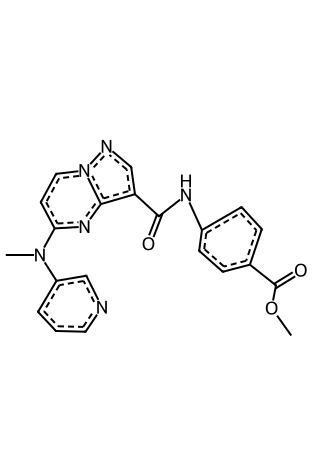 COC(=O)c1ccc(NC(=O)c2cnn3ccc(N(C)c4cccnc4)nc23)cc1